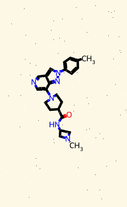 Cc1ccc(-n2cc3cncc(N4CCC(C(=O)NC5CN(C)C5)CC4)c3n2)cc1